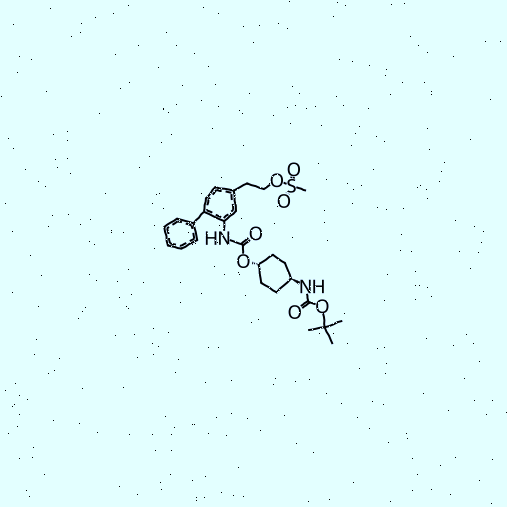 CC(C)(C)OC(=O)N[C@H]1CC[C@H](OC(=O)Nc2cc(CCOS(C)(=O)=O)ccc2-c2ccccc2)CC1